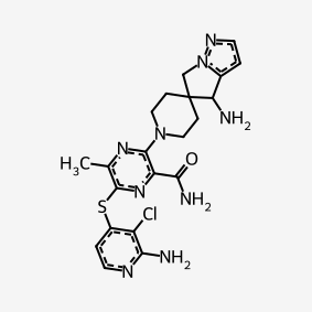 Cc1nc(N2CCC3(CC2)Cn2nccc2C3N)c(C(N)=O)nc1Sc1ccnc(N)c1Cl